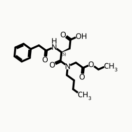 CCCCN(CC(=O)OCC)C(=O)[C@H](CC(=O)O)NC(=O)Cc1ccccc1